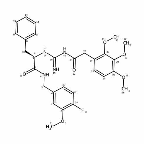 COc1cc(CNC(=O)[C@@H](Cc2ccccc2)NC(=N)NC(=O)Cc2ccc(OC)c(OC)c2OC)ccc1F